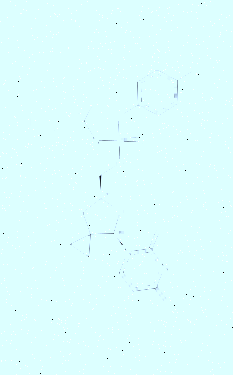 CCOC(=O)[C@H](C)NP(=O)(OC[C@H]1O[C@@H](n2ccc(=O)[nH]c2=O)C2(CC2)[C@@H]1O)Oc1ccc(Cl)cc1